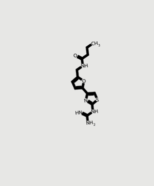 CCCC(=O)NCc1ccc(-c2csc(NC(=N)N)n2)o1